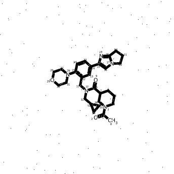 CC(=O)N1CCCC(C(=O)N(Cc2cc(-c3cn4c(n3)CCC4)ccc2N2CCOCC2)CC2CC2)C1